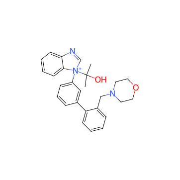 CC(C)(O)[N+]1(c2cccc(-c3ccccc3CN3CCOCC3)c2)C=Nc2ccccc21